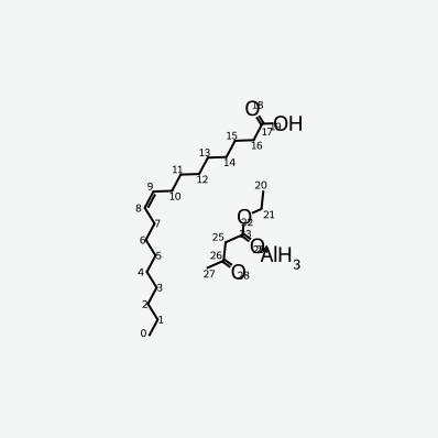 CCCCCCCC/C=C\CCCCCCCC(=O)O.CCOC(=O)CC(C)=O.[AlH3]